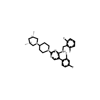 C[C@@H]1C[C@H](C)CN(C2CCN(c3ncc(-c4ccc(F)cc4F)c(NCc4c(F)cccc4F)n3)CC2)C1